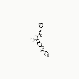 Nc1c(NC(=O)/C=C/c2cccnc2)sc2c1CCC(OC(=O)N1CCOCC1)C2